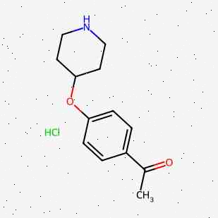 CC(=O)c1ccc(OC2CCNCC2)cc1.Cl